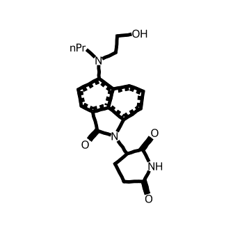 CCCN(CCO)c1ccc2c3c(cccc13)N(C1CCC(=O)NC1=O)C2=O